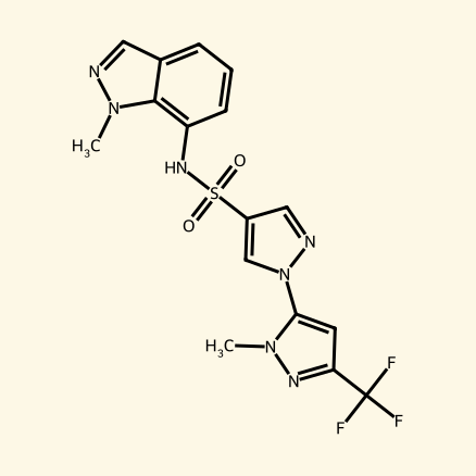 Cn1nc(C(F)(F)F)cc1-n1cc(S(=O)(=O)Nc2cccc3cnn(C)c23)cn1